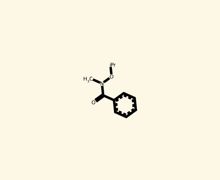 CC(C)ON(C)C(=O)c1ccccc1